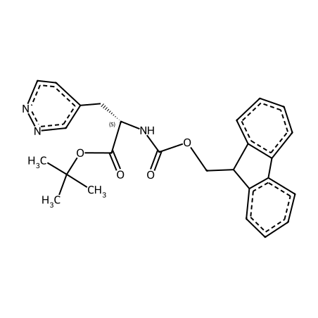 CC(C)(C)OC(=O)[C@H](Cc1ccnnc1)NC(=O)OCC1c2ccccc2-c2ccccc21